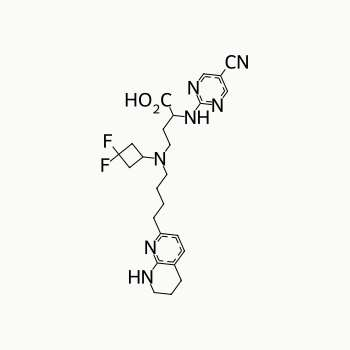 N#Cc1cnc(NC(CCN(CCCCc2ccc3c(n2)NCCC3)C2CC(F)(F)C2)C(=O)O)nc1